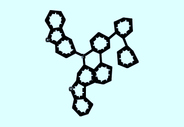 c1ccc(-c2ccccc2-c2ccc(N(c3ccc4c(c3)oc3ccccc34)c3ccc4oc5ccccc5c4c3)c(-c3ccccc3)c2)cc1